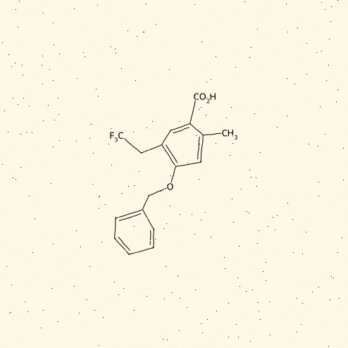 Cc1cc(OCc2ccccc2)c(CC(F)(F)F)cc1C(=O)O